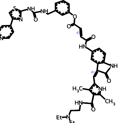 CCN(CC)CCNC(=O)c1c(C)[nH]c(/C=C2\C(=O)Nc3ccc(NC(=O)/C=C/C(=O)Oc4cccc(CNC(=O)Nc5nc(-c6ccncc6)cs5)c4)cc32)c1C